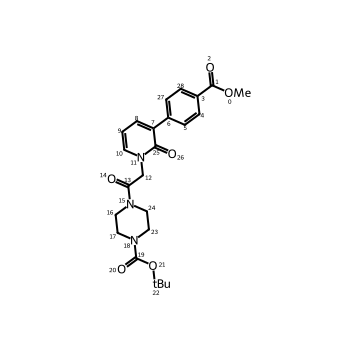 COC(=O)c1ccc(-c2cccn(CC(=O)N3CCN(C(=O)OC(C)(C)C)CC3)c2=O)cc1